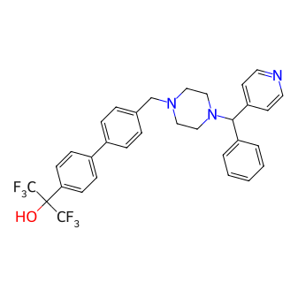 OC(c1ccc(-c2ccc(CN3CCN(C(c4ccccc4)c4ccncc4)CC3)cc2)cc1)(C(F)(F)F)C(F)(F)F